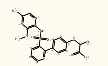 COc1nc(C)cnc1NS(=O)(=O)c1cccnc1-c1ccc(OC(C)C(=O)O)cc1